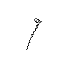 CCCCCCCCCCCCCCCCC=C[N+]1(C)CCOCC1